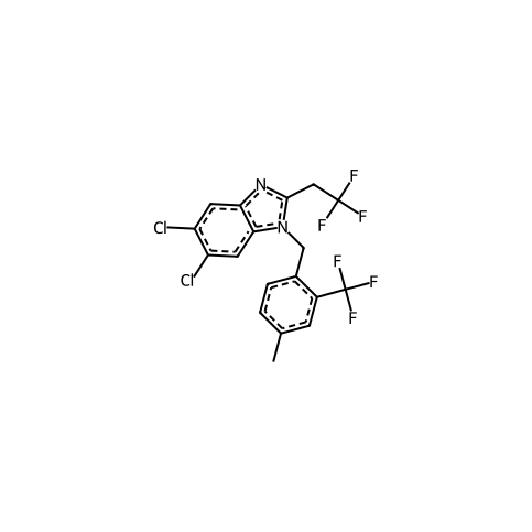 Cc1ccc(Cn2c(CC(F)(F)F)nc3cc(Cl)c(Cl)cc32)c(C(F)(F)F)c1